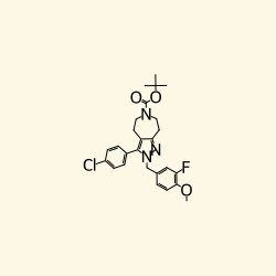 COc1ccc(Cn2nc3c(c2-c2ccc(Cl)cc2)CCN(C(=O)OC(C)(C)C)CC3)cc1F